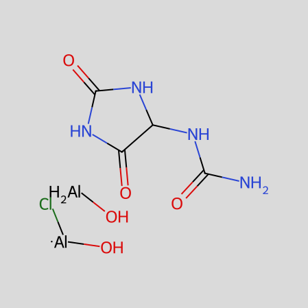 NC(=O)NC1NC(=O)NC1=O.[OH][AlH2].[OH][Al][Cl]